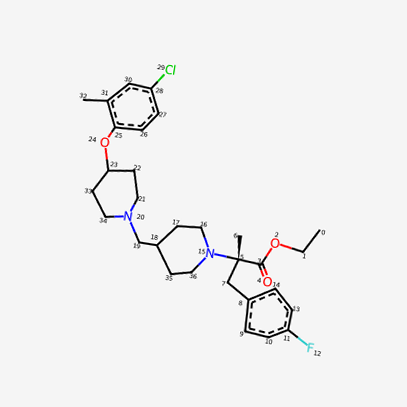 CCOC(=O)[C@](C)(Cc1ccc(F)cc1)N1CCC(CN2CCC(Oc3ccc(Cl)cc3C)CC2)CC1